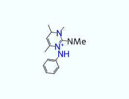 CNC1=[N+](Nc2ccccc2)C(C)=CC(C)N1C